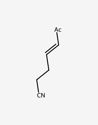 CC(=O)/C=C/CCC#N